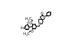 CCOc1cc(CN2CCC3(CC2)CC(=O)N(c2ccccc2)C3)cc(OCC)c1-c1ccc(F)cc1F